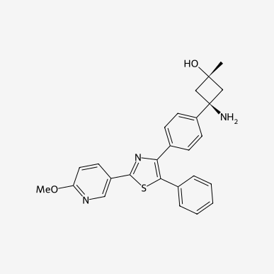 COc1ccc(-c2nc(-c3ccc([C@]4(N)C[C@](C)(O)C4)cc3)c(-c3ccccc3)s2)cn1